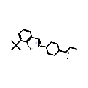 CC[C@H](C)C1CCC(/N=C/c2cccc(C(C)(C)C)c2O)CC1